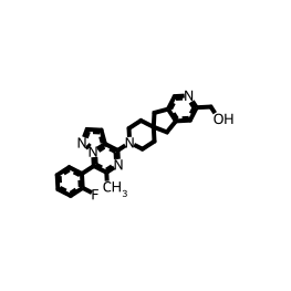 Cc1nc(N2CCC3(CC2)Cc2cnc(CO)cc2C3)c2ccnn2c1-c1ccccc1F